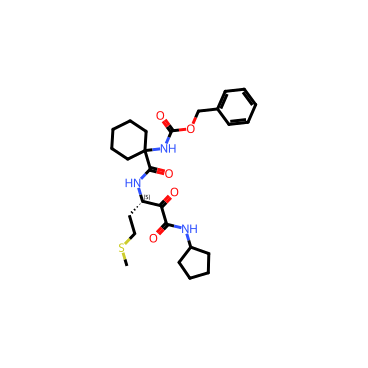 CSCC[C@H](NC(=O)C1(NC(=O)OCc2ccccc2)CCCCC1)C(=O)C(=O)NC1CCCC1